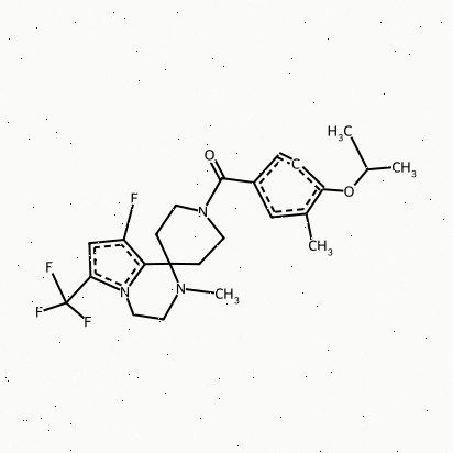 Cc1cc(C(=O)N2CCC3(CC2)c2c(F)cc(C(F)(F)F)n2CCN3C)ccc1OC(C)C